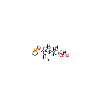 C[C@@]1(O)CC[C@H]2[C@H](CC[C@@H]3[C@@H]2CC[C@]2(C)[C@@H](C[PH](=O)c4ccccc4)CC[C@@H]32)C1